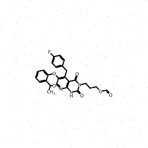 CC(C)c1ccccc1Oc1cnc2[nH]c(=O)n(CCCOC=O)c(=O)c2c1Cc1ccc(F)cc1